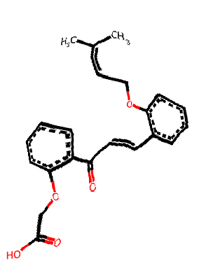 CC(C)=CCOc1ccccc1C=CC(=O)c1ccccc1OCC(=O)O